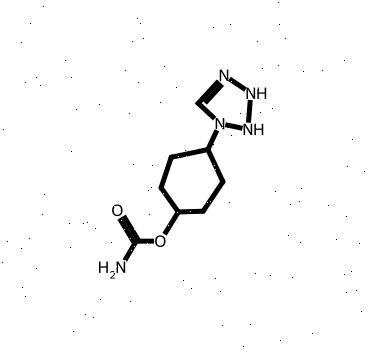 NC(=O)OC1CCC(N2C=NNN2)CC1